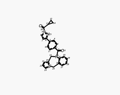 O=C(c1ccc(-c2ccn(C(=O)C3CC3)n2)cc1)N1Cc2cccn2Cc2ccccc21